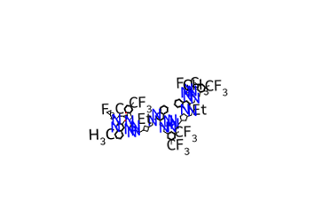 CCN(CC1CCC(Cn2nnc(N(Cc3cc(C(F)(F)F)cc(C(F)(F)F)c3)Cc3cc4ccccc4nc3N(CC)CC3CC(Cn4nnc(N(Cc5cc(C(F)(F)F)cc(C(F)(F)F)c5)Cc5cc6cccc(C)c6nc5N(CC5CC5)CC5CC5)n4)C3)n2)C1)c1nc2ccccc2cc1CN(Cc1cc(C(F)(F)F)cc(C(F)(F)F)c1)c1nnn(C)n1